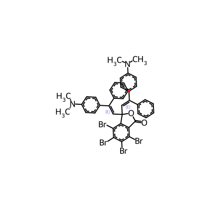 CN(C)c1ccc(/C(=C/C2(/C=C(\c3ccccc3)c3ccc(N(C)C)cc3)OC(=O)c3c(Br)c(Br)c(Br)c(Br)c32)c2ccccc2)cc1